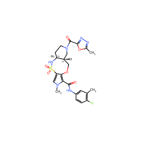 Cc1nnc(C(=O)N2CC[C@@H]3NS(=O)(=O)c4cn(C)c(C(=O)Nc5ccc(F)c(C)c5)c4OC[C@H]3C2)o1